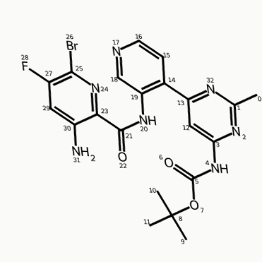 Cc1nc(NC(=O)OC(C)(C)C)cc(-c2ccncc2NC(=O)c2nc(Br)c(F)cc2N)n1